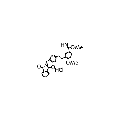 COC(=N)c1ccc(OC)c(CCc2ccc(CN3C(=O)c4ccccc4C3=O)cc2)c1.Cl